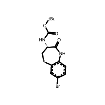 CC(C)(C)OC(=O)N[C@H]1CSc2cc(Br)ccc2NC1=O